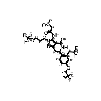 C[S+]([O-])CC(=O)Nc1c2c(nn1CCCOC(F)(F)F)CC(c1ccc(OCC(F)(F)F)cc1CC(F)F)NC2=O